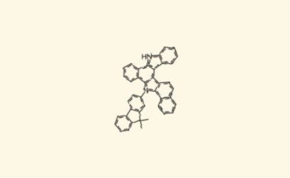 CC1(C)c2ccccc2-c2ccc(-n3c4c5ccccc5ccc4c4c5c6ccccc6[nH]c5c5ccccc5c43)cc21